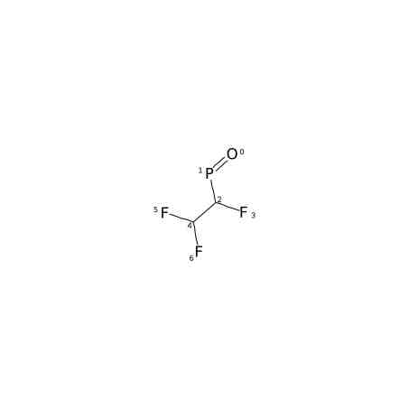 O=PC(F)C(F)F